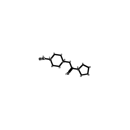 O=CN1CCN(CC(=O)N2CCCC2)CC1